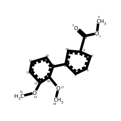 COC(=O)c1cccc(-c2cccc(OC)c2OC)c1